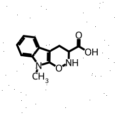 Cn1c2c(c3ccccc31)CC(C(=O)O)NO2